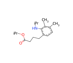 Cc1ccc(CCCC(=O)OC(C)C)c(NC(C)C)c1C